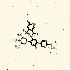 C[C@@H]1CN(c2cc(F)c(-c3cnc(N(C)C)nc3)cc2NC(=O)c2c[nH]c(=O)cc2C(F)(F)F)C[C@H](C)N1C